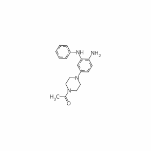 CC(=O)N1CCN(c2ccc(N)c(Nc3ccccc3)c2)CC1